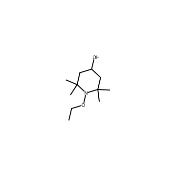 CCON1C(C)(C)CC(O)CC1(C)C